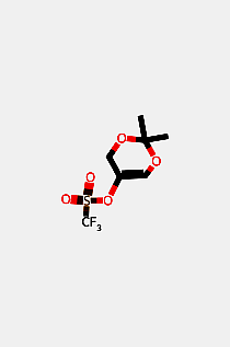 CC1(C)OC=C(OS(=O)(=O)C(F)(F)F)CO1